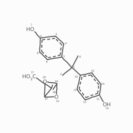 CC(C)(c1ccc(O)cc1)c1ccc(O)cc1.O=C(O)C1=C2OC1O2